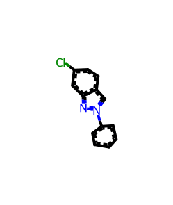 Clc1ccc2cn(-c3ccccc3)nc2c1